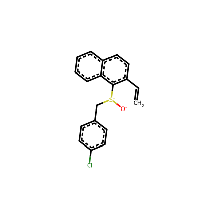 C=Cc1ccc2ccccc2c1[S+]([O-])Cc1ccc(Cl)cc1